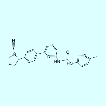 Cc1ccc(NC(=O)Nc2cncc(-c3ccc(C4CCCN4C#N)cc3)n2)cn1